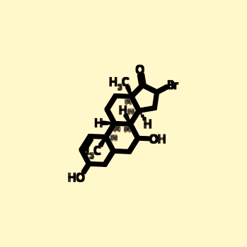 C[C@]12C=CC(O)CC1CC(O)[C@@H]1[C@H]2CC[C@]2(C)C(=O)C(Br)C[C@@H]12